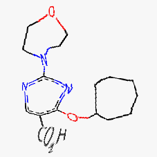 O=C(O)c1cnc(N2CCOCC2)nc1OC1CCCCCC1